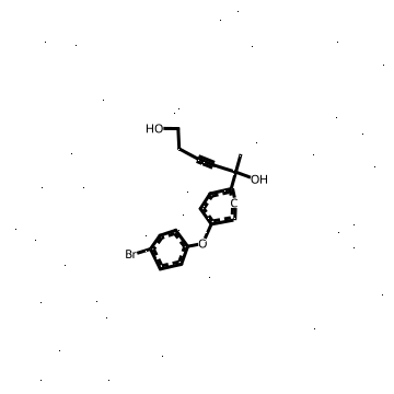 CC(O)(C#CCCO)c1ccc(Oc2ccc(Br)cc2)cc1